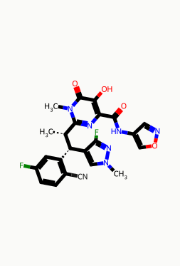 C[C@H](c1nc(C(=O)Nc2cnoc2)c(O)c(=O)n1C)[C@@H](c1cc(F)ccc1C#N)c1cn(C)nc1F